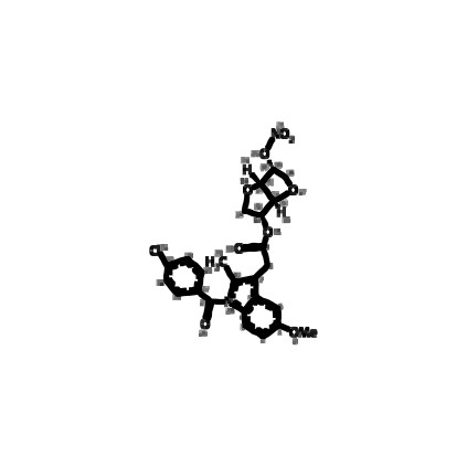 COc1ccc2c(c1)c(CC(=O)O[C@H]1CO[C@H]3[C@H]1OC[C@H]3O[N+](=O)[O-])c(C)n2C(=O)c1ccc(Cl)cc1